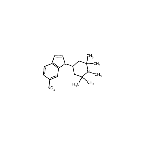 CN1C(C)(C)CC(n2ccc3ccc([N+](=O)[O-])cc32)CC1(C)C